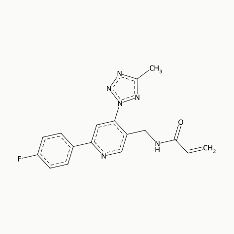 C=CC(=O)NCc1cnc(-c2ccc(F)cc2)cc1-n1nnc(C)n1